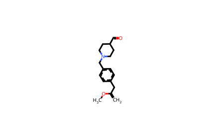 C=C(Cc1ccc(CN2CCC(C=O)CC2)cc1)OC